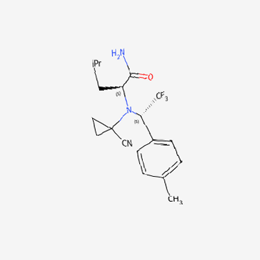 Cc1ccc([C@H](N([C@@H](CC(C)C)C(N)=O)C2(C#N)CC2)C(F)(F)F)cc1